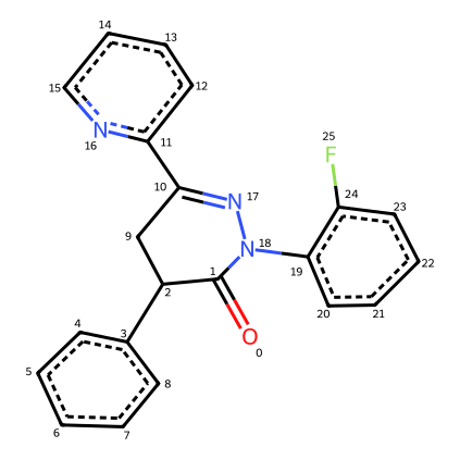 O=C1C(c2ccccc2)CC(c2ccccn2)=NN1c1ccccc1F